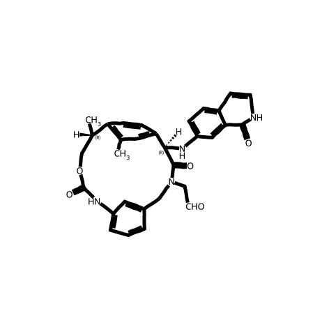 Cc1cc2ccc1[C@@H](C)COC(=O)Nc1cccc(c1)CN(CC=O)C(=O)[C@@H]2Nc1ccc2cc[nH]c(=O)c2c1